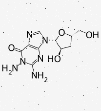 Nc1nc2c(ncn2[C@@H]2O[C@H](CO)C[C@H]2O)c(=O)n1N